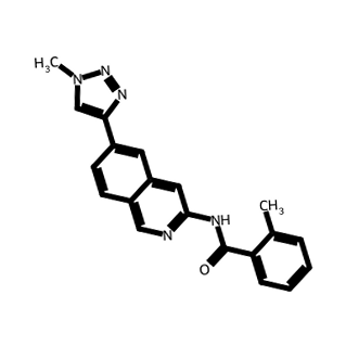 Cc1ccccc1C(=O)Nc1cc2cc(-c3cn(C)nn3)ccc2cn1